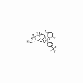 CC[C@H]1C[C@@H]2C[C@](C3CC(F)=CC=C3F)(S(=O)(=O)c3ccc(C(F)(F)F)cc3)CC[C@@H]2NS1(=O)=O